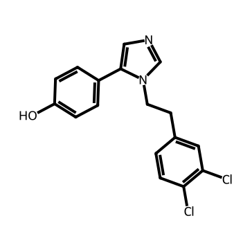 Oc1ccc(-c2cncn2CCc2ccc(Cl)c(Cl)c2)cc1